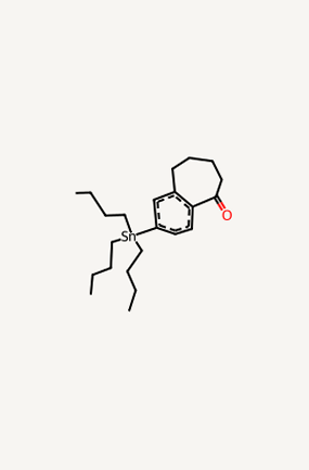 CCC[CH2][Sn]([CH2]CCC)([CH2]CCC)[c]1ccc2c(c1)CCCCC2=O